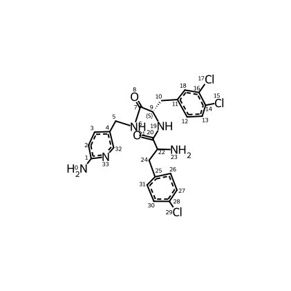 Nc1ccc(CNC(=O)[C@H](Cc2ccc(Cl)c(Cl)c2)NC(=O)C(N)Cc2ccc(Cl)cc2)cn1